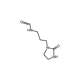 O=[C]NCCCN1CCNC1=O